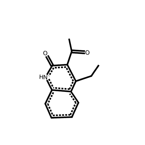 CCc1c(C(C)=O)c(=O)[nH]c2ccccc12